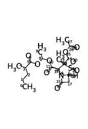 CCCC(C)C(=O)OC(C)OC(=O)[C@@H]1N2C(=O)C[C@H]2S(=O)(=O)[C@@]1(C)COC(C)=O